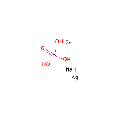 O=P(O)(O)O.[Ag].[NaH].[Zr]